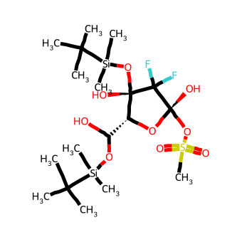 CC(C)(C)[Si](C)(C)OC(O)[C@H]1O[C@@](O)(OS(C)(=O)=O)C(F)(F)[C@@]1(O)O[Si](C)(C)C(C)(C)C